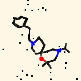 CC(C)N1CC(C)(C)OC2(CCN(CCc3ccccc3)CC2)C1